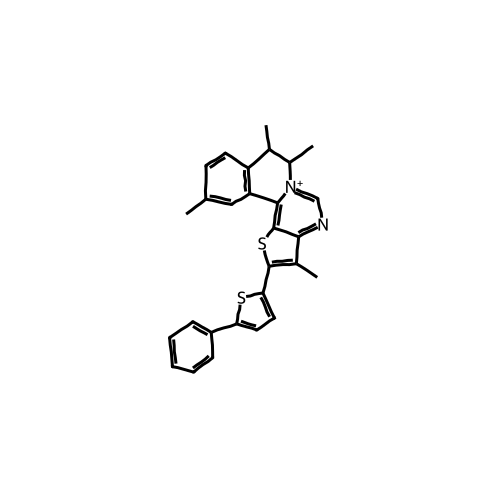 Cc1ccc2c(c1)-c1c3sc(-c4ccc(-c5ccccc5)s4)c(C)c3nc[n+]1C(C)C2C